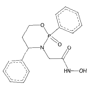 O=C(CN1C(c2ccccc2)CCOP1(=O)c1ccccc1)NO